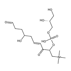 C[N+](C)(C)CC(OP(=O)(O)OC[C@H](O)CO)C(=O)C=CCC(O)CCC=O